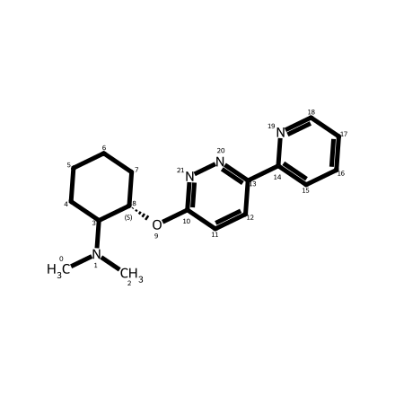 CN(C)C1CCCC[C@@H]1Oc1ccc(-c2ccccn2)nn1